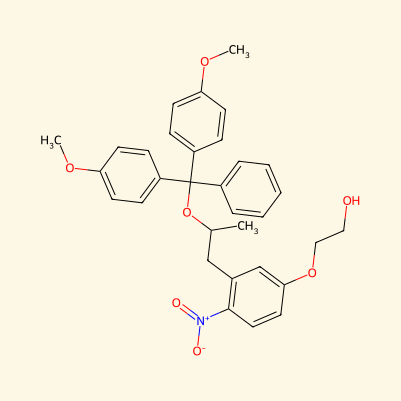 COc1ccc(C(OC(C)Cc2cc(OCCO)ccc2[N+](=O)[O-])(c2ccccc2)c2ccc(OC)cc2)cc1